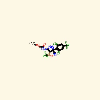 CCOCC(=O)NC1=C([S+]([O-])C(F)(F)F)C(C#N)(c2c(Cl)cc(C(F)(F)F)cc2Cl)N=N1